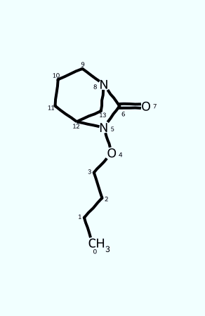 CCCCON1C(=O)N2CCCC1C2